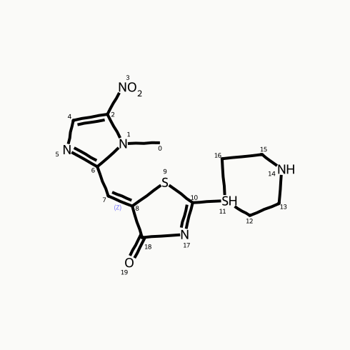 Cn1c([N+](=O)[O-])cnc1/C=C1\SC([SH]2CCNCC2)=NC1=O